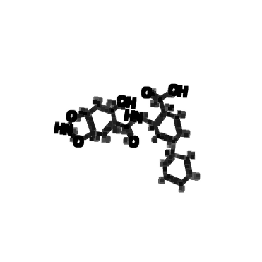 O=C(Nc1cc(-c2ccccc2)ccc1C(=O)O)c1cc2c(cc1O)ONO2